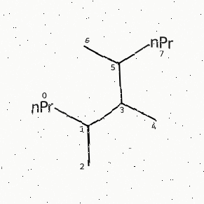 CCCC(C)C(C)C(C)CCC